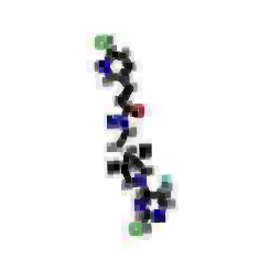 O=C(/C=C/c1ccc(Cl)nc1)NCC[C@@H]1[C@H]2CN(c3nc(Cl)ncc3F)C[C@@H]12